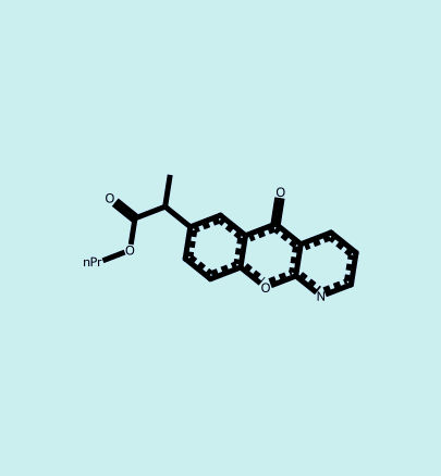 CCCOC(=O)C(C)c1ccc2oc3ncccc3c(=O)c2c1